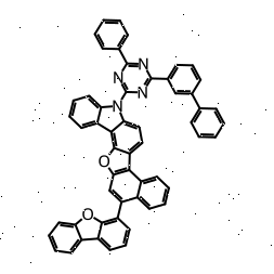 c1ccc(-c2cccc(-c3nc(-c4ccccc4)nc(-n4c5ccccc5c5c6oc7cc(-c8cccc9c8oc8ccccc89)c8ccccc8c7c6ccc54)n3)c2)cc1